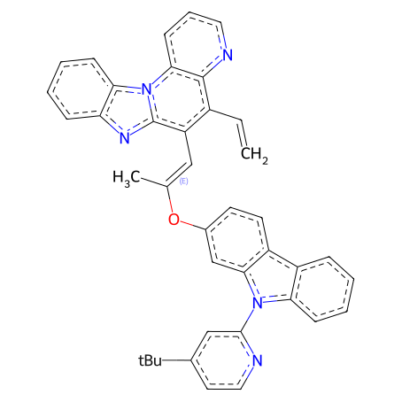 C=Cc1c(/C=C(\C)Oc2ccc3c4ccccc4n(-c4cc(C(C)(C)C)ccn4)c3c2)c2nc3ccccc3n2c2cccnc12